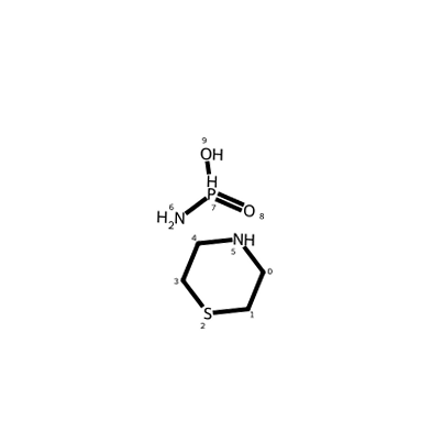 C1CSCCN1.N[PH](=O)O